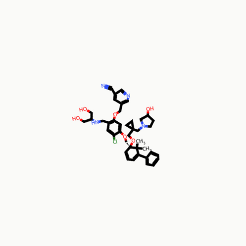 CC1(C)C(c2ccccc2)=CC=C[C@@]1(COc1cc(OCc2cncc(C#N)c2)c(CNC(CO)CO)cc1Cl)OCC1(CN2CCC(O)C2)CC1